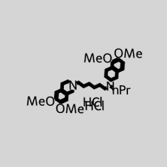 CCCN(CCCCCCN1CCc2cc(OC)c(OC)cc2C1)[C@H]1CCc2c(ccc(OC)c2OC)C1.Cl.Cl